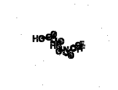 COc1cc(C(=O)NCC(=O)c2ccc(OC)c(-c3ccc(OC(F)(F)F)cc3)n2)ccc1OCCO